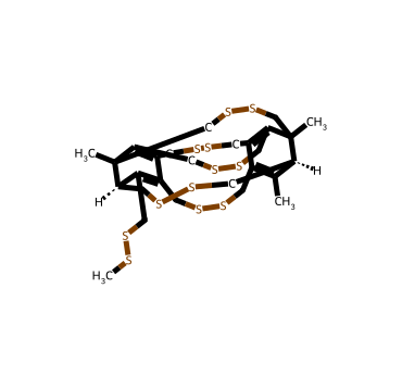 CSSCC1=C2CSSCC3=C(C)[C@H]4CSSC[C@H]1C1(C)CSSCC4(C)C4=C3CSSCC2=C1CSSC4